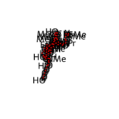 CCN(C(=O)CNC(=O)OCc1ccc(NC(=O)[C@H](C)NC(=O)[C@@H](NC(=O)CCCn2nnc(CSC)c2CSC)C(C)C)cc1)C1COCC(OC2C(O[C@H]3C#C/C=C\C#C[C@]4(O)CC(=O)C(NC(=O)OC)=C3/C4=C\CSSC(C)(C)CCC(=O)NCCOCCOCCOCCO)OC(C)C(NOC3CC(O)C(SC(=O)c4c(C)c(I)c(OC5OC(C)C(O)C(OC)C5O)c(OC)c4OC)C(C)O3)C2O)C1OC